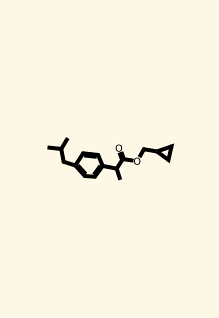 CC(C)Cc1ccc(C(C)C(=O)OCC2CC2)cc1